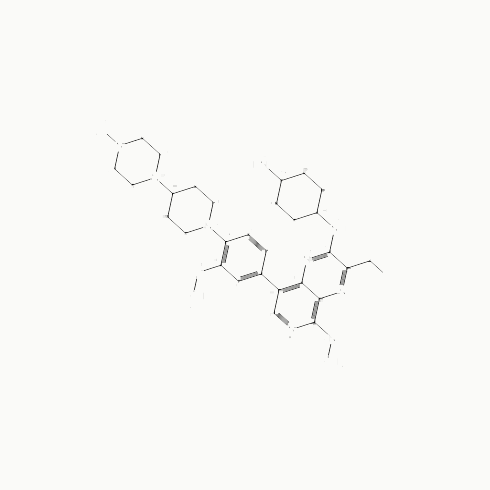 CCc1nc2c(NC)ncc(-c3ccc(N4CCC(N5CCN(C)CC5)CC4)c(OC)c3)c2nc1NC1CCC(N)CC1